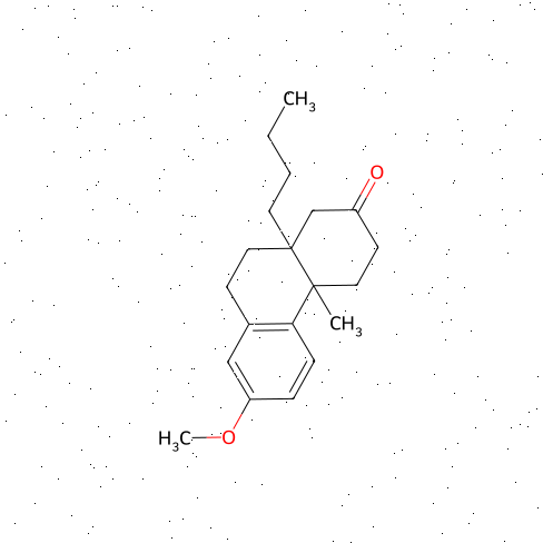 CCCCC12CCc3cc(OC)ccc3C1(C)CCC(=O)C2